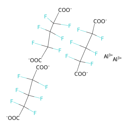 O=C([O-])C(F)(F)C(F)(F)C(F)(F)C(=O)[O-].O=C([O-])C(F)(F)C(F)(F)C(F)(F)C(=O)[O-].O=C([O-])C(F)(F)C(F)(F)C(F)(F)C(=O)[O-].[Al+3].[Al+3]